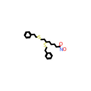 O=NC(=O)CCCCC(CCSCCc1ccccc1)SCCc1ccccc1